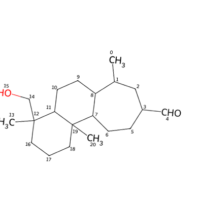 CC1CC(C=O)CCC2C1CCC1C(C)(CO)CCCC21C